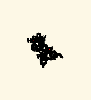 CCC1=C[C@H]2CN(C1)Cc1c([nH]c3ccc(C)cc13)[C@@](C(=O)OC)(c1cc3c(cc1OC)N(C)[C@H]1[C@@](O)(C(=O)OC)[C@H](O)[C@]4(CC)C=CCN5CC[C@]31[C@@H]54)C2